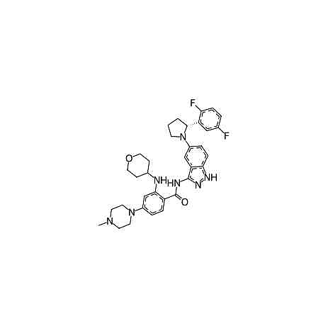 CN1CCN(c2ccc(C(=O)Nc3n[nH]c4ccc(N5CCC[C@@H]5c5cc(F)ccc5F)cc34)c(NC3CCOCC3)c2)CC1